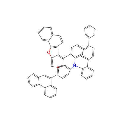 c1ccc(-c2ccc(-c3ccccc3N(c3ccc(-c4cc5ccccc5c5ccccc45)cc3)c3ccccc3-c3cccc4oc5c6ccccc6ccc5c34)cc2)cc1